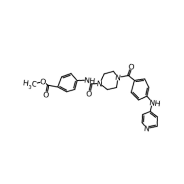 COC(=O)c1ccc(NC(=O)N2CCN(C(=O)c3ccc(Nc4ccncc4)cc3)CC2)cc1